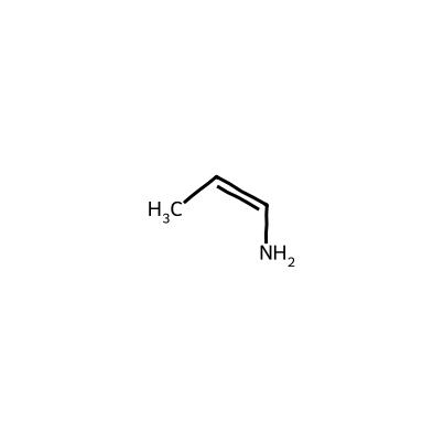 C/C=C\N